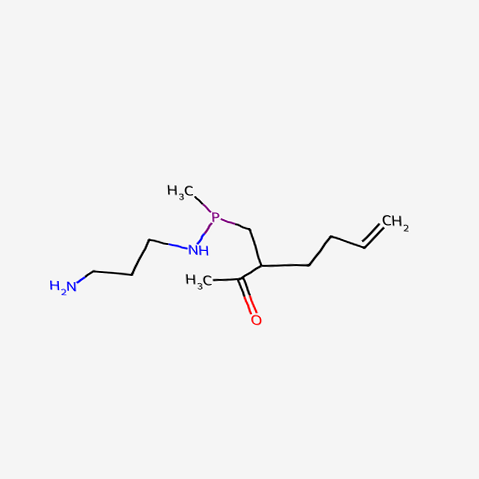 C=CCCC(CP(C)NCCCN)C(C)=O